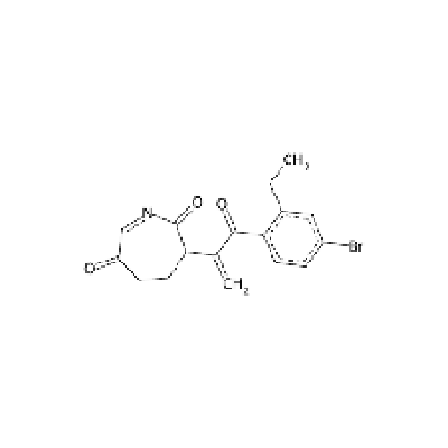 C=C(C(=O)c1ccc(Br)cc1CC)C1CCC(=O)C=NC1=O